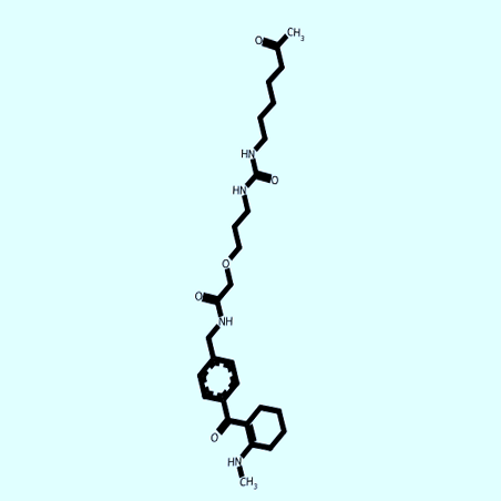 CNC1=C(C(=O)c2ccc(CNC(=O)COCCCNC(=O)NCCCCCC(C)=O)cc2)CCCC1